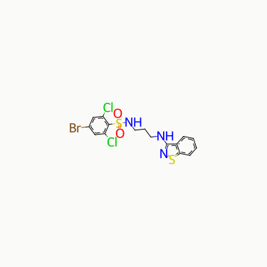 O=S(=O)(NCCCNc1nsc2ccccc12)c1c(Cl)cc(Br)cc1Cl